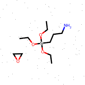 C1CO1.CCO[Si](CCCN)(OCC)OCC